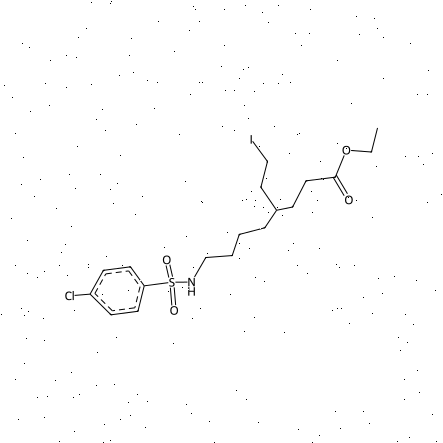 CCOC(=O)CCC(CCI)CCCCNS(=O)(=O)c1ccc(Cl)cc1